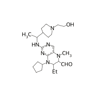 CCC1C(C=O)N(C)c2cnc(NC(C)C3CCN(CCO)CC3)nc2N1C1CCCC1